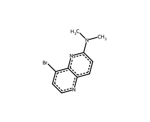 CN(C)c1ccc2nccc(Br)c2n1